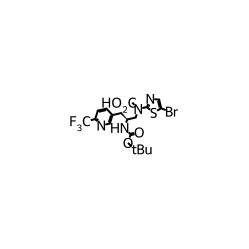 CC(C)(C)OC(=O)N[C@@H](Cc1ccc(C(F)(F)F)nc1)CN(C(=O)O)c1ncc(Br)s1